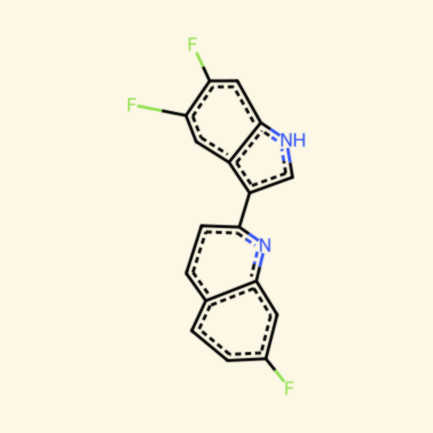 Fc1ccc2ccc(-c3c[nH]c4cc(F)c(F)cc34)nc2c1